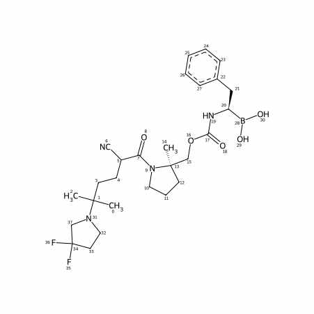 CC(C)(CCC(C#N)C(=O)N1CCC[C@]1(C)COC(=O)N[C@@H](Cc1ccccc1)B(O)O)N1CCC(F)(F)C1